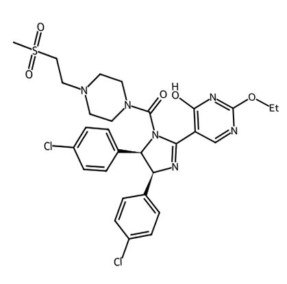 CCOc1ncc(C2=N[C@@H](c3ccc(Cl)cc3)[C@@H](c3ccc(Cl)cc3)N2C(=O)N2CCN(CCS(C)(=O)=O)CC2)c(O)n1